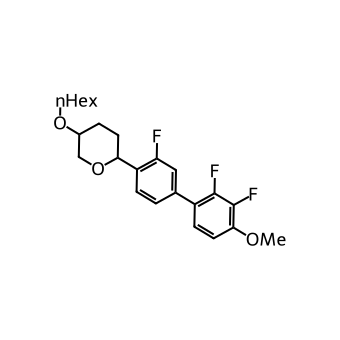 CCCCCCOC1CCC(c2ccc(-c3ccc(OC)c(F)c3F)cc2F)OC1